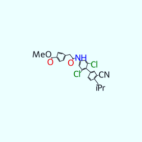 COC(=O)c1ccc(CC(=O)Nc2cc(Cl)c(-c3ccc(CC(C)C)c(C#N)c3)c(Cl)c2)cc1